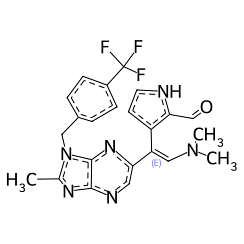 Cc1nc2ncc(/C(=C/N(C)C)c3cc[nH]c3C=O)nc2n1Cc1ccc(C(F)(F)F)cc1